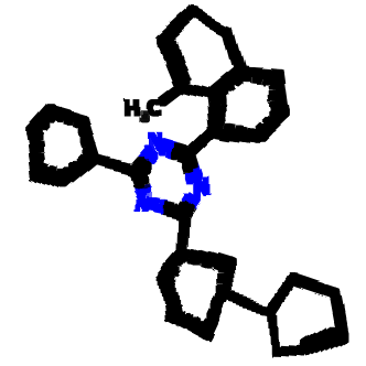 CC1=CCCc2cccc(-c3nc(-c4ccccc4)nc(-c4cccc(C5CC=CCC5)c4)n3)c21